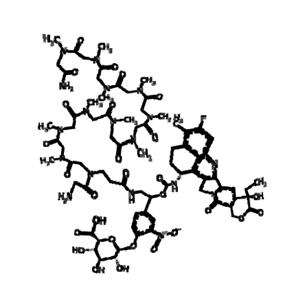 CC[C@]1(O)C(=O)OCc2c1cc1n(c2=O)Cc2c-1nc1cc(F)c(C)c3c1c2[C@H](NC(=O)OC(CNC(=O)CCN(CC(=O)N(C)CC(=O)N(C)CC(=O)N(C)CC(=O)N(C)CC(=O)N(C)CC(=O)N(C)CC(=O)N(C)CC(=O)N(C)CC(=O)N(C)CC(=O)N(C)CC(N)=O)C(=O)CN)c1ccc(O[C@@H]2O[C@H](C(=O)O)[C@@H](O)[C@H](O)[C@H]2O)c([N+](=O)[O-])c1)CC3